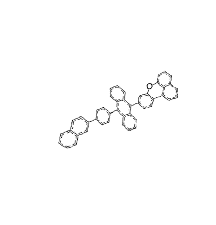 c1ccc2cc(-c3ccc(-c4c5ccccc5c(-c5ccc6c(c5)Oc5cccc7cccc-6c57)c5ccccc45)cc3)ccc2c1